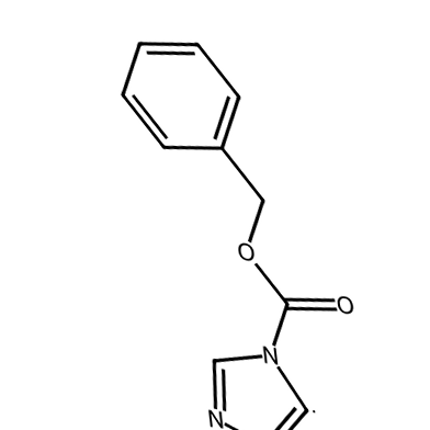 O=C(OCc1ccccc1)n1[c]cnc1